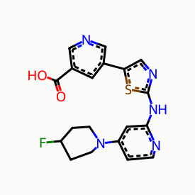 O=C(O)c1cncc(-c2cnc(Nc3cc(N4CCC(F)CC4)ccn3)s2)c1